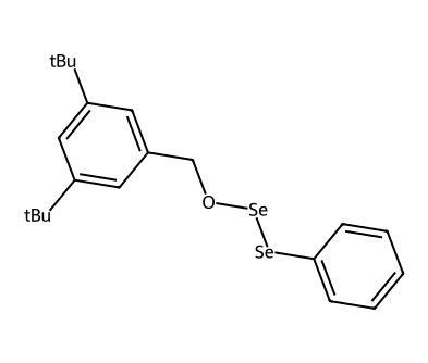 CC(C)(C)c1cc(CO[Se][Se]c2ccccc2)cc(C(C)(C)C)c1